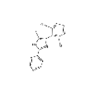 Cc1[nH]c(-c2ccncc2)nc1-c1c(Cl)cccc1Cl